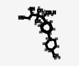 [CH2]C(C)(C(S)CS)N(C(=O)O)c1ccc(N2CCN(C)CC2)cc1